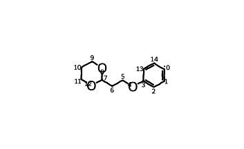 [c]1ccc(OCCC2OCCCO2)cc1